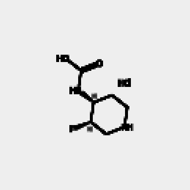 Cl.O=C(O)N[C@H]1CCNC[C@H]1F